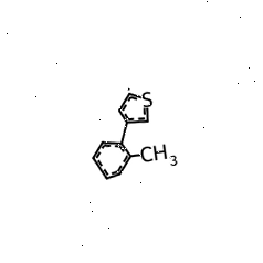 Cc1ccccc1-c1c[c]sc1